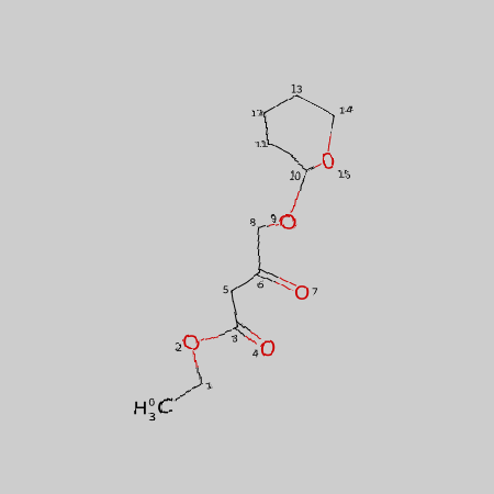 CCOC(=O)CC(=O)COC1CCCCO1